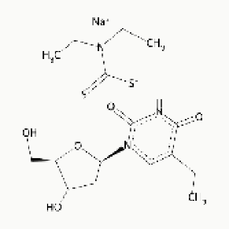 CCN(CC)C(=S)[S-].CCc1cn([C@H]2C[C@H](O)[C@@H](CO)O2)c(=O)[nH]c1=O.[Na+]